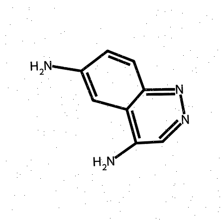 Nc1ccc2nncc(N)c2c1